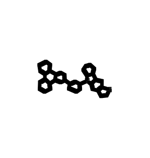 c1cc(-c2ccc3c4ccccc4c4ccccc4c3c2)cc(-n2c3ccccc3c3cc4sccc4cc32)c1